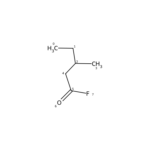 CCC(C)CC(=O)F